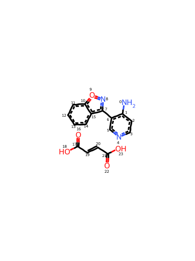 Nc1ccncc1-c1noc2ccccc12.O=C(O)C=CC(=O)O